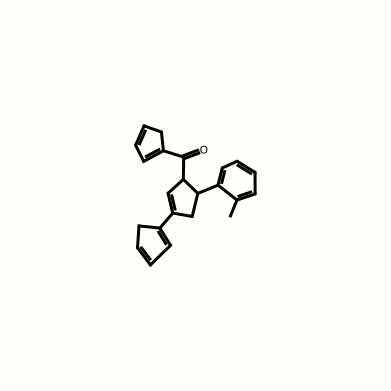 Cc1ccccc1C1CC(C2=CC=CC2)=CC1C(=O)C1=CC=CC1